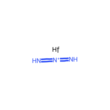 N=[N+]=N.[Hf]